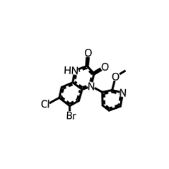 COc1ncccc1-n1c(=O)c(=O)[nH]c2cc(Cl)c(Br)cc21